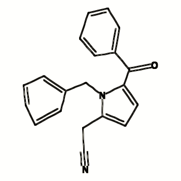 N#CCc1ccc(C(=O)c2ccccc2)n1Cc1ccccc1